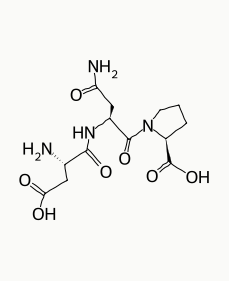 NC(=O)C[C@H](NC(=O)[C@@H](N)CC(=O)O)C(=O)N1CCC[C@H]1C(=O)O